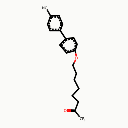 N#Cc1ccc(-c2ccc(OCCCCCCC(=O)C(F)(F)F)cc2)cc1